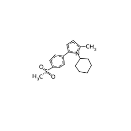 Cc1ccc(-c2ccc(S(C)(=O)=O)cc2)n1C1CCCCC1